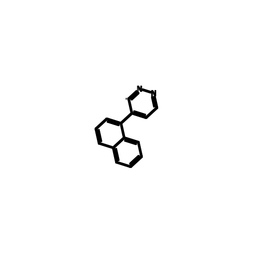 [c]1nnccc1-c1cccc2ccccc12